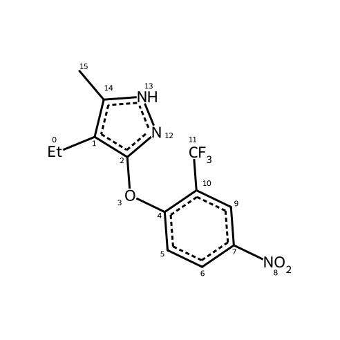 CCc1c(Oc2ccc([N+](=O)[O-])cc2C(F)(F)F)n[nH]c1C